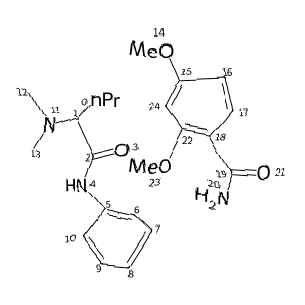 CCCC(C(=O)Nc1ccccc1)N(C)C.COc1ccc(C(N)=O)c(OC)c1